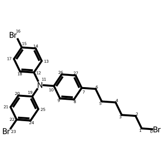 BrCCCCCCc1ccc(N(c2ccc(Br)cc2)c2ccc(Br)cc2)cc1